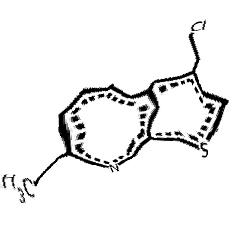 Cc1ccc2c(Cl)csc2n1